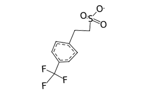 [O]S(=O)(=O)CCc1ccc(C(F)(F)F)cc1